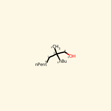 CCCCCCC(C)(CO)CCCC